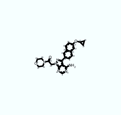 Nc1ncnc2c1c(-c1ccc3cc(OC4CC4)ccc3c1)nn2CC(=O)N1CCOCC1